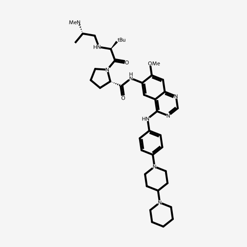 CN[C@@H](C)CN[C@H](C(=O)N1CCC[C@H]1C(=O)Nc1cc2c(Nc3ccc(N4CCC(N5CCCCC5)CC4)cc3)ncnc2cc1OC)C(C)(C)C